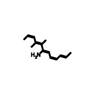 C\C=C/C(C)=C(C)/C(N)=C/C=C\C=C\C